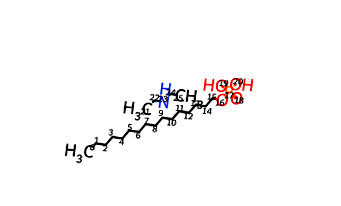 CCCCCCCCCCCCCCCCOP(=O)(O)O.CCNCC